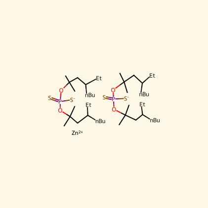 CCCCC(CC)CC(C)(C)OP(=S)([S-])OC(C)(C)CC(CC)CCCC.CCCCC(CC)CC(C)(C)OP(=S)([S-])OC(C)(C)CC(CC)CCCC.[Zn+2]